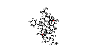 CC(=O)OC[C@@]1(OC(=O)C(C)C)C(=O)N2[C@H]3Nc4ccccc4[C@@]3([C@]34C[C@]5(SC(=O)C(C)C)C(=O)N(C)[C@](COC(C)=O)(OC(=O)C(C)C)C(=O)N5[C@H]3N(S(=O)(=O)c3ccccc3)c3ccccc34)C[C@]2(SC(=O)C(C)C)C(=O)N1C